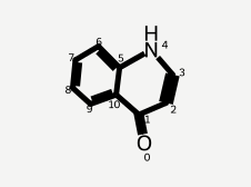 O=c1c#c[nH]c2ccccc12